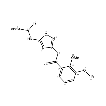 CCCCCC(CC)Nc1nc(CC(=O)c2cccc(OCCC)c2OC)no1